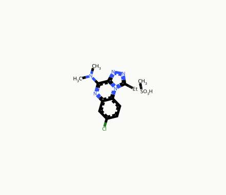 CCc1nnc2c(N(C)C)nc3cc(Cl)ccc3n12.CS(=O)(=O)O